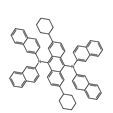 c1ccc2cc(N(c3ccc4ccccc4c3)c3c4ccc(C5CCCCC5)cc4c(N(c4ccc5ccccc5c4)c4ccc5ccccc5c4)c4ccc(C5CCCCC5)cc34)ccc2c1